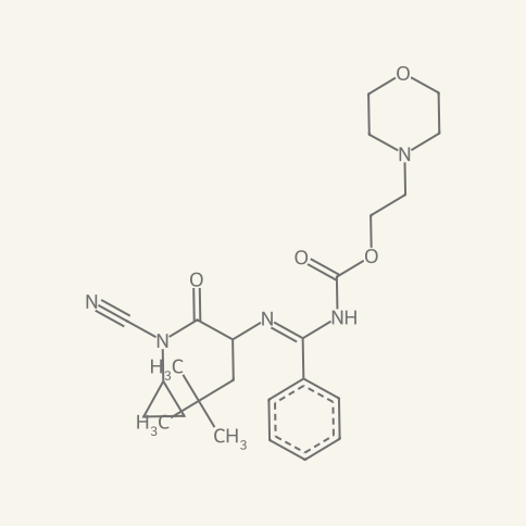 CC(C)(C)CC(N=C(NC(=O)OCCN1CCOCC1)c1ccccc1)C(=O)N(C#N)C1CC1